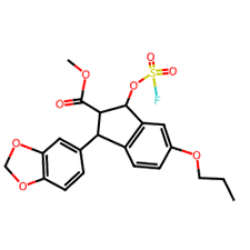 CCCOc1ccc2c(c1)C(OS(=O)(=O)F)C(C(=O)OC)C2c1ccc2c(c1)OCO2